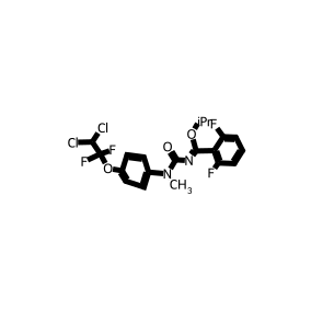 CC(C)OC(=NC(=O)N(C)c1ccc(OC(F)(F)C(Cl)Cl)cc1)c1c(F)cccc1F